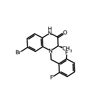 C[C@@H]1C(=O)Nc2ccc(Br)cc2N1Cc1c(F)cccc1F